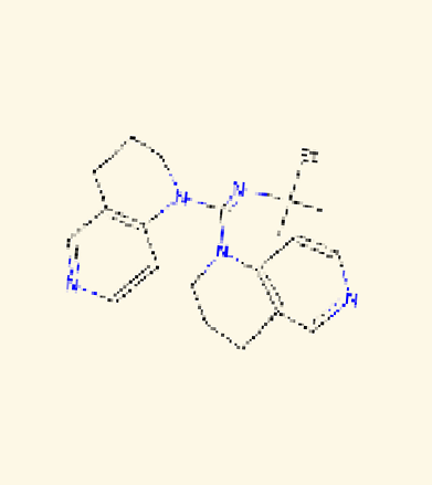 CCC(C)(C)N=C(N1CCCc2cnccc21)N1CCCc2cnccc21